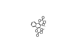 COc1c(OC)c(OC(=O)Cl)c2ccccc2c1OC(=O)Cl